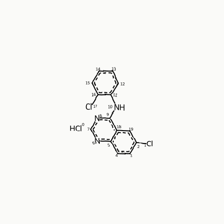 Cl.Clc1ccc2ncnc(Nc3ccccc3Cl)c2c1